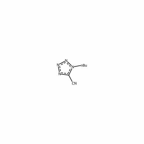 CCCCn1nnnc1C#N